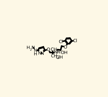 CC(C)(COc1ccc(NN)nn1)NCC(O)COc1cc(Cl)ccc1Cl.Cl